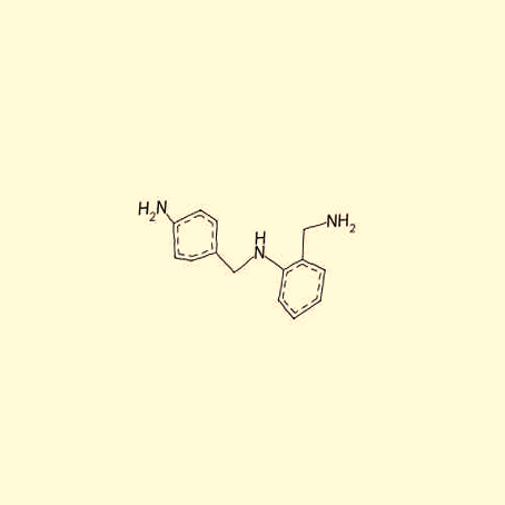 NCc1ccccc1NCc1ccc(N)cc1